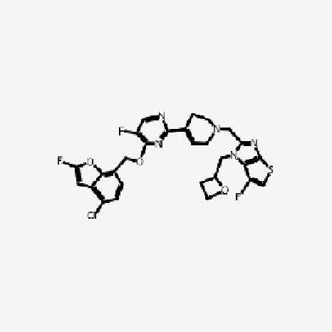 Fc1cc2c(Cl)ccc(COc3nc(C4=CCN(Cc5nc6scc(F)c6n5CC5CCO5)CC4)ncc3F)c2o1